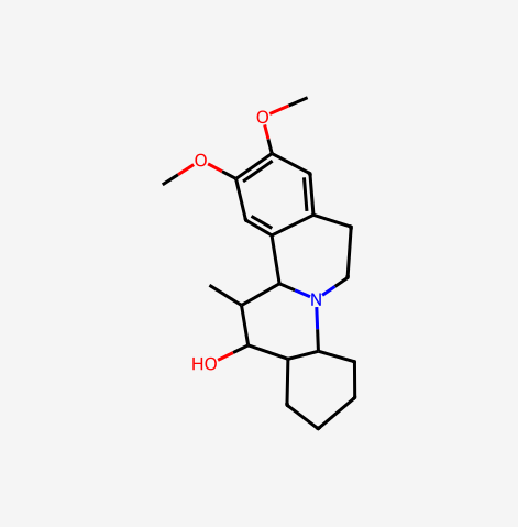 COc1cc2c(cc1OC)C1C(C)C(O)C3CCCCC3N1CC2